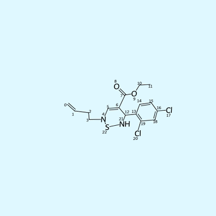 C=CCCN1C=C(C(=O)OCC)C(c2ccc(Cl)cc2Cl)NS1